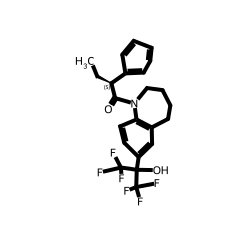 CC[C@H](C(=O)N1CCCCc2cc(C(O)(C(F)(F)F)C(F)(F)F)ccc21)c1ccccc1